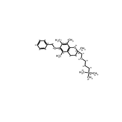 Cc1c(C)c2c(c(C)c1OCc1ccccc1)CC[C@](C)(COCCC[Si](C)(C)C)O2